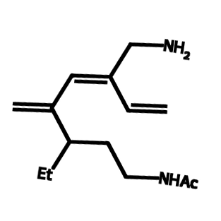 C=C/C(=C\C(=C)C(CC)CCNC(C)=O)CN